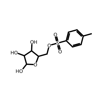 Cc1ccc(S(=O)(=O)OCC2OC(O)C(O)C2O)cc1